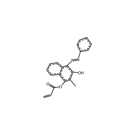 C=CC(=O)Oc1c(C)c(O)c(N=Nc2ccccc2)c2ccccc12